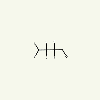 [O]CC(F)(F)C(F)(F)C(F)F